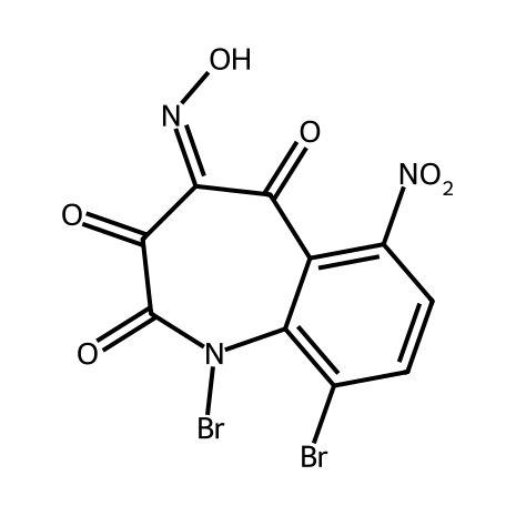 O=C1C(=O)N(Br)c2c(Br)ccc([N+](=O)[O-])c2C(=O)C1=NO